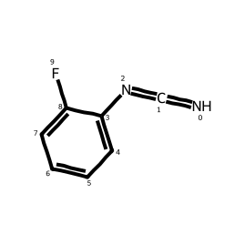 N=C=Nc1ccccc1F